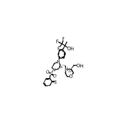 CC(O)(c1ccc(N2CCN(S(=O)(=O)C3=CC=CCC3=S)C[C@H]2CN2CCOC[C@@H]2CO)cc1)C(F)(F)F